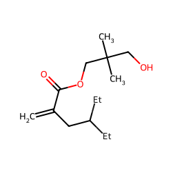 C=C(CC(CC)CC)C(=O)OCC(C)(C)CO